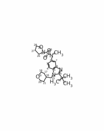 CN(c1ccc2c(c1)nc(C(C)(C)C)n2CC1CCOCC1)S(=O)(=O)N1CCCO1